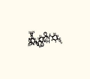 CSc1ccc(CNC(=O)c2ccc3c(n2)OCCN3c2cc(C3CC3)nc(C)n2)cc1